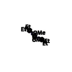 CCN(CC)c1ccc(/C=C/c2cc(OC)c(/C=C/c3ccc(N(CC)CC)cc3)cc2OC)cc1